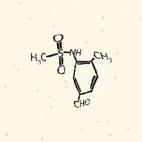 Cc1ccc(C=O)cc1NS(C)(=O)=O